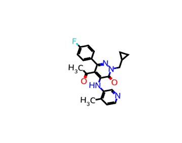 CC(=O)c1c(-c2ccc(F)cc2)nn(CC2CC2)c(=O)c1Nc1cnccc1C